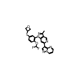 Cc1nn(-c2cc(SC3COC3)ccc2OC(F)F)c2cc(-c3cnn4cccnc34)ncc12